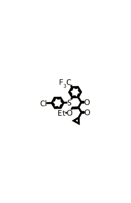 CCOC=C(C(=O)c1ccc(C(F)(F)F)cc1Sc1ccc(Cl)cc1)C(=O)C1CC1